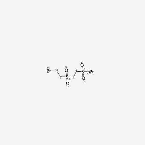 CC(C)S(=O)(=O)CCS(=O)(=O)CCBr